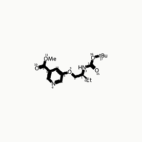 CC[C@@H](COc1cncc(C(=O)OC)c1)NC(=O)OC(C)(C)C